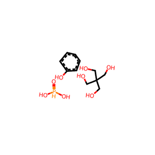 O=[PH](O)O.OCC(CO)(CO)CO.Oc1ccccc1